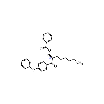 CCCCCC/C(=N\OC(=O)c1ccccc1)C(=O)c1ccc(Sc2ccccc2)cc1